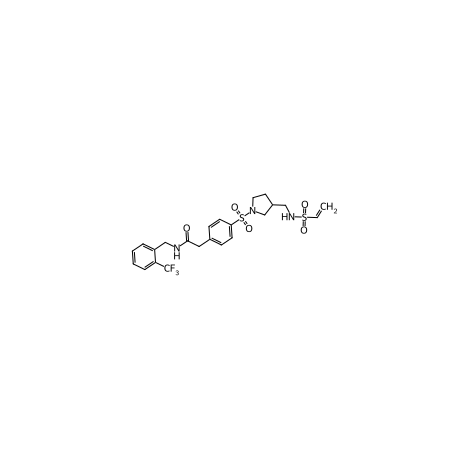 C=CS(=O)(=O)NCC1CCN(S(=O)(=O)c2ccc(CC(=O)NCc3ccccc3C(F)(F)F)cc2)C1